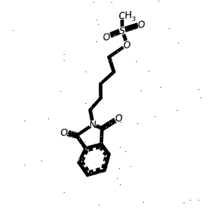 CS(=O)(=O)OCCCCCN1C(=O)c2ccccc2C1=O